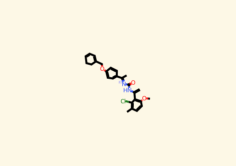 C=C(NC(=O)/N=C(\C)c1ccc(OCC2=CC=CCC2)cc1)c1c(OC)ccc(C)c1Cl